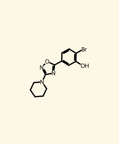 Oc1cc(-c2nc(N3CCCCC3)no2)ccc1Br